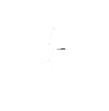 CC(C)C(O)[C@H](F)CN